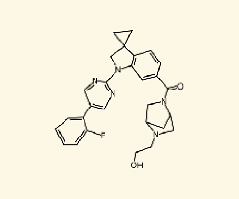 O=C(c1ccc2c(c1)N(c1ncc(-c3ccccc3F)cn1)CC21CC1)N1CC2CC1CN2CCO